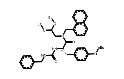 CCCCOc1ccc(C[C@H](NC(=O)NCc2ccccc2)C(=O)N(Cc2cccc3ccccc23)CC(OCC)OCC)cc1